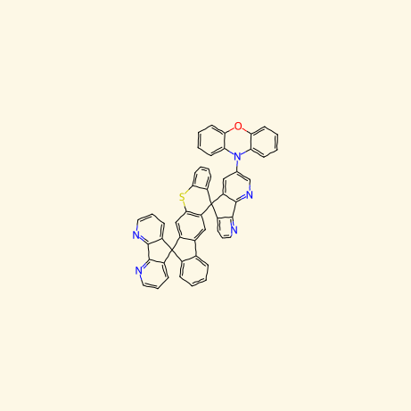 c1ccc2c(c1)Oc1ccccc1N2c1cnc2c(c1)C1(c3ccccc3Sc3cc4c(cc31)-c1ccccc1C41c3cccnc3-c3ncccc31)c1cccnc1-2